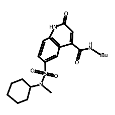 CCC(C)NC(=O)c1cc(=O)[nH]c2ccc(S(=O)(=O)N(C)C3CCCCC3)cc12